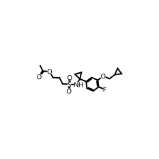 CC(=O)OCCCS(=O)(=O)NC1(c2ccc(F)c(OCC3CC3)c2)CC1